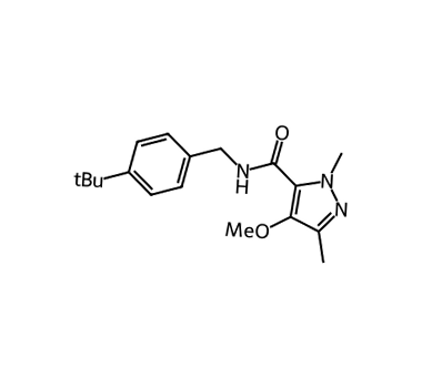 COc1c(C)nn(C)c1C(=O)NCc1ccc(C(C)(C)C)cc1